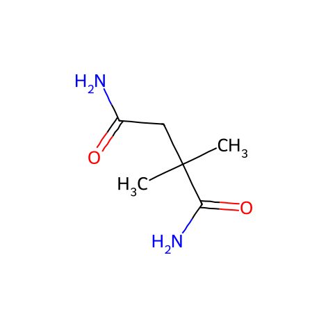 CC(C)(CC(N)=O)C(N)=O